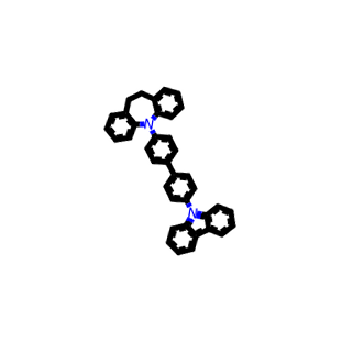 c1ccc2c(c1)CCc1ccccc1N2c1ccc(-c2ccc(-n3c4ccccc4c4ccccc43)cc2)cc1